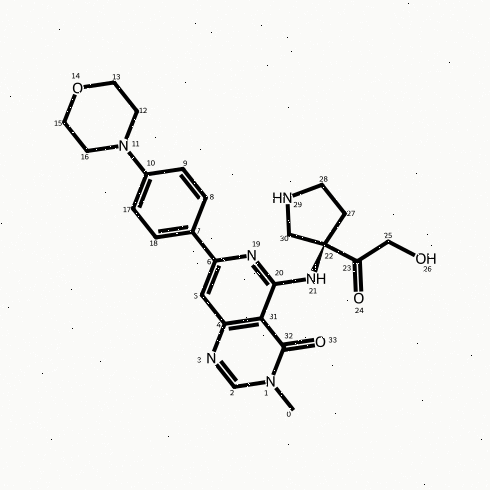 Cn1cnc2cc(-c3ccc(N4CCOCC4)cc3)nc(N[C@]3(C(=O)CO)CCNC3)c2c1=O